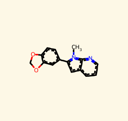 Cn1c(-c2ccc3c(c2)OCO3)cc2cccnc21